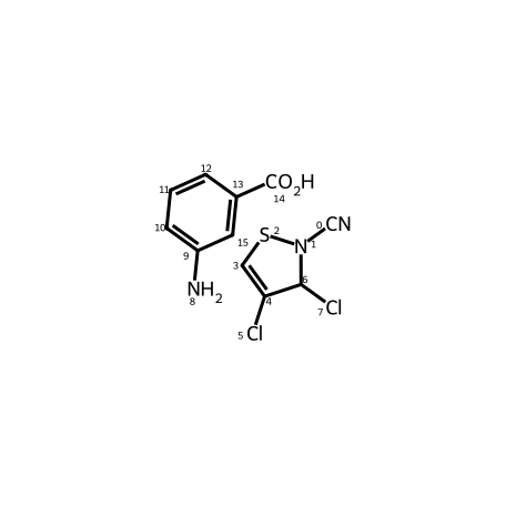 N#CN1SC=C(Cl)C1Cl.Nc1cccc(C(=O)O)c1